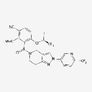 COc1c(C#N)ccc(O[C@@H](C)C(F)(F)F)c1C(=O)N1CCc2nn(-c3ccc(C(F)(F)F)nc3)cc2C1